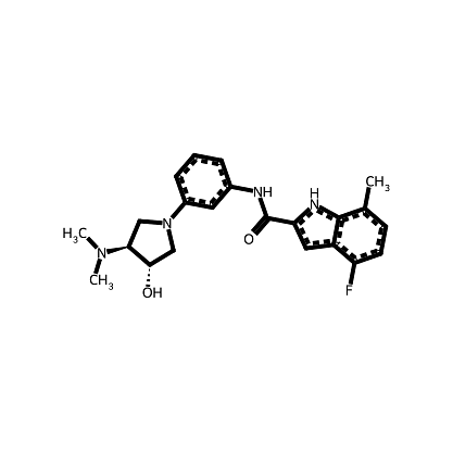 Cc1ccc(F)c2cc(C(=O)Nc3cccc(N4C[C@H](O)[C@@H](N(C)C)C4)c3)[nH]c12